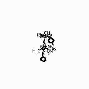 COc1ccc(CN(NC(=O)c2c(OCc3ccccc3)c(C)nn2CCCO[Si](C)(C)C(C)(C)C)C(N)=S)cc1